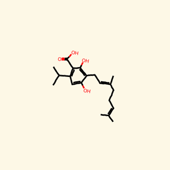 CC(C)=CCC/C(C)=C/Cc1c(O)cc(C(C)C)c(C(=O)O)c1O